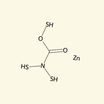 O=C(OS)N(S)S.[Zn]